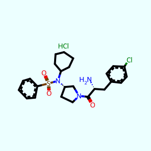 Cl.N[C@H](Cc1ccc(Cl)cc1)C(=O)N1CC[C@H](N(C2CCCCC2)S(=O)(=O)c2ccccc2)C1